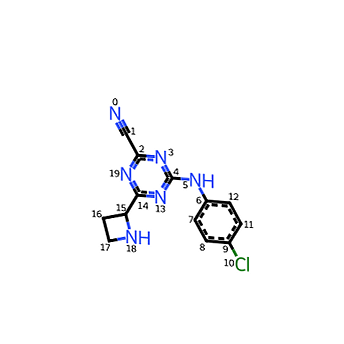 N#Cc1nc(Nc2ccc(Cl)cc2)nc(C2CCN2)n1